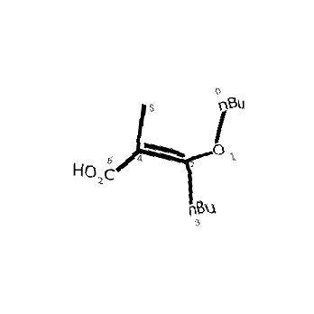 CCCCOC(CCCC)=C(C)C(=O)O